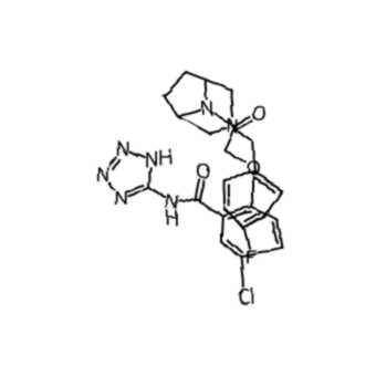 O=C(Nc1nnn[nH]1)c1cc(Cl)ccc1OCC(=O)N1C2CCC1CN(Cc1ccc(F)cc1)C2